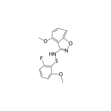 COc1cccc(F)c1SNc1noc2cccc(OC)c12